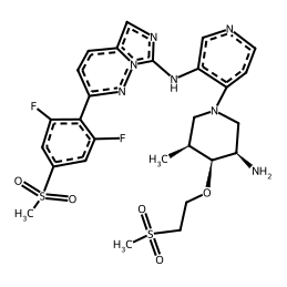 C[C@H]1CN(c2ccncc2Nc2ncc3ccc(-c4c(F)cc(S(C)(=O)=O)cc4F)nn23)C[C@@H](N)[C@H]1OCCS(C)(=O)=O